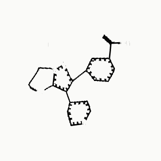 Cl.O=C(O)c1cccc(-c2nn3c(c2-c2ccncc2)SCC3)c1